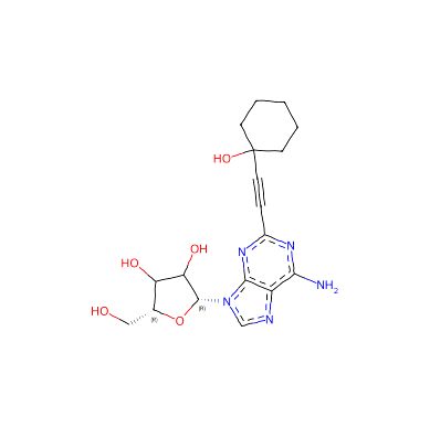 Nc1nc(C#CC2(O)CCCCC2)nc2c1ncn2[C@@H]1O[C@H](CO)C(O)C1O